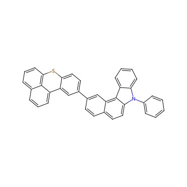 c1ccc(-n2c3ccccc3c3c4cc(-c5ccc6c(c5)-c5cccc7cccc(c57)S6)ccc4ccc32)cc1